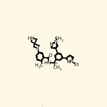 CCn1ccc(-c2cc(-c3cnn(C)c3)cc([C@@H](C)NC(=O)c3cc(N4CC5(CNC5)C4)ccc3C)c2)n1